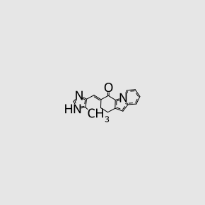 Cc1[nH]cnc1C=C1CCc2cc3ccccn3c2C1=O